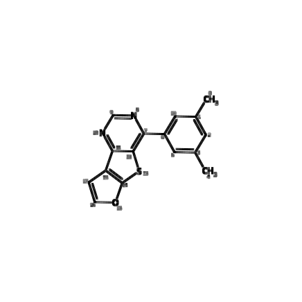 Cc1cc(C)cc(-c2ncnc3c2sc2occc23)c1